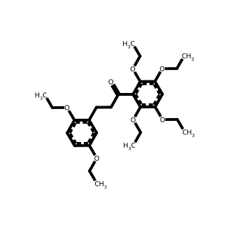 CCOc1ccc(OCC)c(CCC(=O)c2c(OCC)c(OCC)cc(OCC)c2OCC)c1